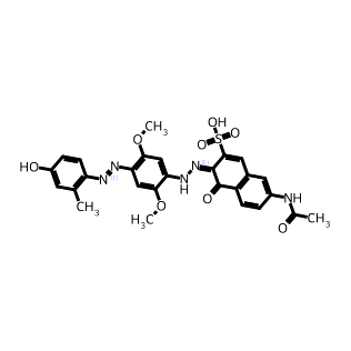 COc1cc(N/N=C2\C(=O)c3ccc(NC(C)=O)cc3C=C2S(=O)(=O)O)c(OC)cc1/N=N/c1ccc(O)cc1C